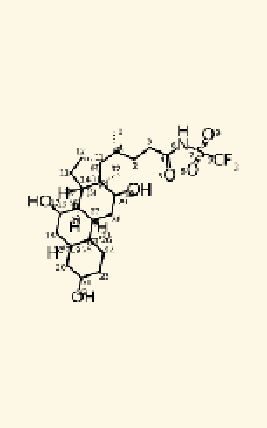 C[C@H](CCC(=O)NS(=O)(=O)C(F)(F)F)[C@H]1CC[C@H]2[C@@H]3C(O)C[C@@H]4CC(O)CC[C@]4(C)[C@H]3CC(O)[C@]12C